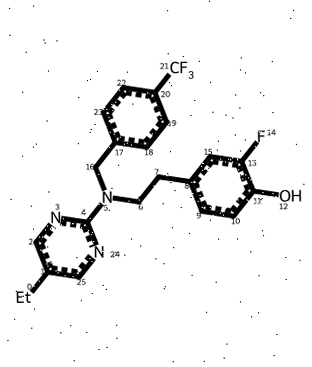 CCc1cnc(N(CCc2ccc(O)c(F)c2)Cc2ccc(C(F)(F)F)cc2)nc1